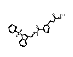 O=C(/C=C/c1cccc(C(=O)N/N=C/c2cn(S(=O)(=O)c3ccccc3)c3ccccc23)c1)NO